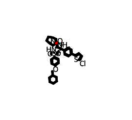 NC1CC2CCC(C1)N2C(=O)C(NS(=O)(=O)c1ccc(OCC2CCCCC2)cc1)C(F)(F)c1ccc(-c2ccc(Cl)s2)cc1